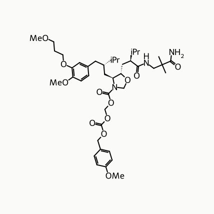 COCCCOc1cc(C[C@@H](C[C@H]2[C@H](C[C@H](C(=O)NCC(C)(C)C(N)=O)C(C)C)OCN2C(=O)OCOC(=O)OCc2ccc(OC)cc2)C(C)C)ccc1OC